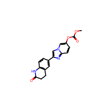 COC(=O)Oc1ccc2nc(-c3ccc4c(c3)CCC(=O)N4)cn2c1